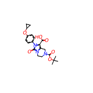 CC(C)(C)OC(=O)N1CCn2c(c(C(=O)O)n(-c3ccc(OC4CC4)cc3)c2=O)C1